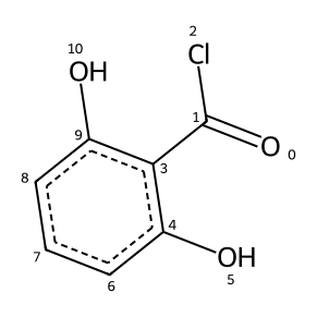 O=C(Cl)c1c(O)cccc1O